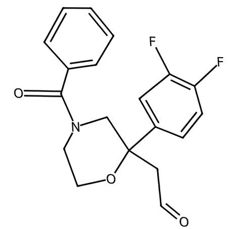 O=CCC1(c2ccc(F)c(F)c2)CN(C(=O)c2ccccc2)CCO1